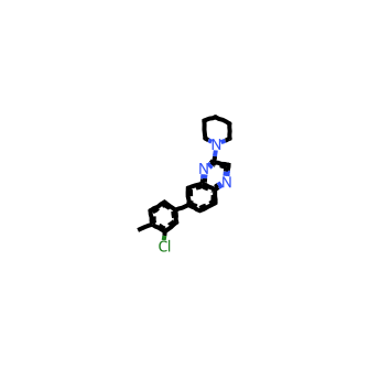 Cc1ccc(-c2ccc3ncc(N4CCCCC4)nc3c2)cc1Cl